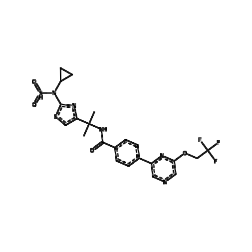 CC(C)(NC(=O)c1ccc(-c2cncc(OCC(F)(F)F)n2)cc1)c1csc(N(C2CC2)[SH](=O)=O)n1